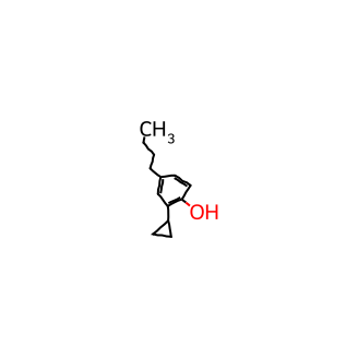 CCCCc1ccc(O)c(C2CC2)c1